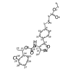 CCOC(=O)CSCc1ccc(-c2onc(C)c2NC(=O)OC(C)c2ccccc2Cl)cc1